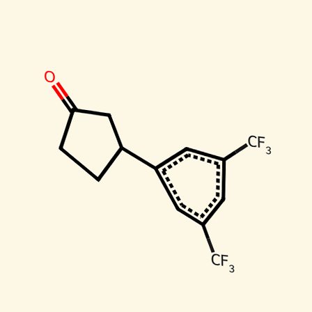 O=C1CCC(c2cc(C(F)(F)F)cc(C(F)(F)F)c2)C1